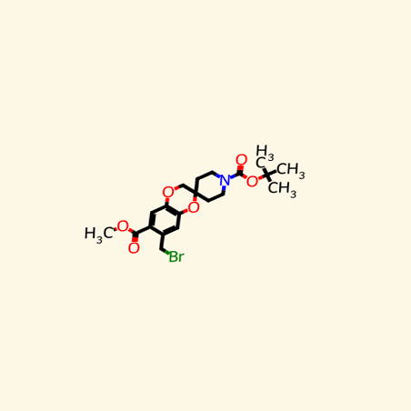 COC(=O)c1cc2c(cc1CBr)OC1(CCN(C(=O)OC(C)(C)C)CC1)CO2